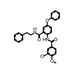 COc1ccc(C(=O)Nc2ccc(Oc3ccccc3)cc2C(=O)NCCc2ccccc2)cc1Cl